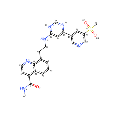 CNC(=O)c1ccnc2c(CCNc3cc(-c4cncc(S(C)(=O)=O)c4)ncn3)cccc12